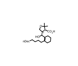 CCCCCCCCCCCCCCC1=C(C(O)[C@H]2COC(C)(C)N2C(=O)O)CCCC1